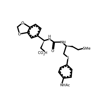 CSCC[C@@H](CSc1ccc(NC(C)=O)cc1)NC(=O)N[C@@H](CC(=O)O)c1ccc2c(c1)OCO2